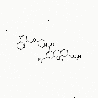 O=C(O)c1ccc(Cc2c(C(=O)N3CCC(OCc4ccnc5ccccc45)CC3)cc(C(F)(F)F)cc2C(F)(F)F)cc1